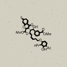 CCCc1c(OCC/C=C\C=C\[C@H](c2c(C(=O)OC)oc3c(c2=O)=CCC(=S)C=3)[C@H](O)c2cccc(C(=O)OC)c2)ccc(C(C)=O)c1O